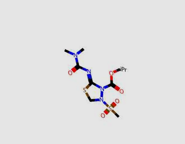 CC(C)OC(=O)N1C(=NC(=O)N(C)C)SCN1S(C)(=O)=O